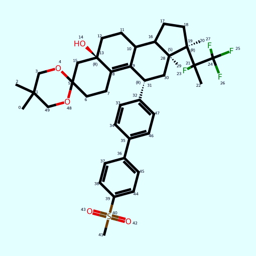 CC1(C)COC2(CCC3=C4C(CC[C@@]3(O)C2)C2CC[C@@](C)(C(C)(F)C(F)(F)F)[C@@]2(C)C[C@@H]4c2ccc(-c3ccc(S(C)(=O)=O)cc3)cc2)OC1